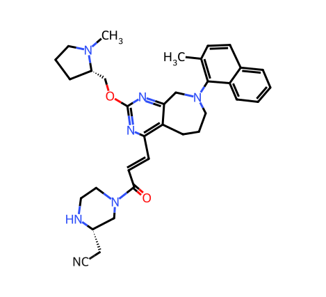 Cc1ccc2ccccc2c1N1CCCc2c(C=CC(=O)N3CCN[C@@H](CC#N)C3)nc(OC[C@@H]3CCCN3C)nc2C1